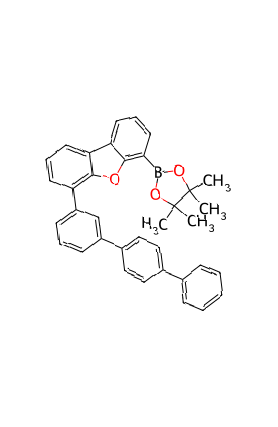 CC1(C)OB(c2cccc3c2oc2c(-c4cccc(-c5ccc(-c6ccccc6)cc5)c4)cccc23)OC1(C)C